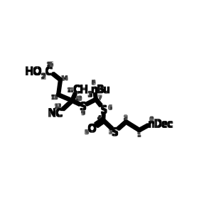 CCCCCCCCCCCCSC(=O)SC(CCCC)SC(C)(C#N)CCC(=O)O